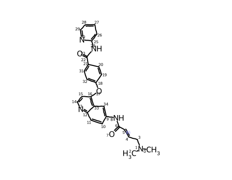 CN(C)C/C=C/C(=O)Nc1ccc2nccc(Oc3ccc(C(=O)Nc4ccccn4)cc3)c2c1